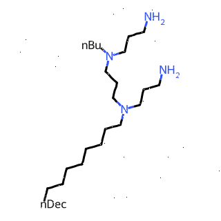 CCCCCCCCCCCCCCCCCCN(CCCN)CCCN(CCCC)CCCN